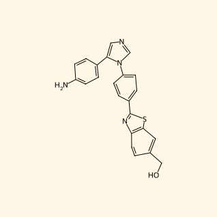 Nc1ccc(-c2cncn2-c2ccc(-c3nc4ccc(CO)cc4s3)cc2)cc1